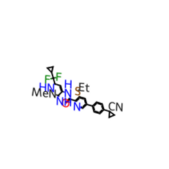 CCSc1cc(-c2ccc(C3(C#N)CC3)cc2)cnc1C(=O)N/C(=C/C(=N)C(F)(F)C1CC1)C(=N)NC